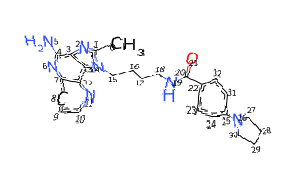 Cc1nc2c(N)nc3cccnc3c2n1CCCCNC(=O)c1ccc(N2CCCC2)cc1